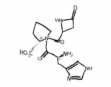 N[C@@H](Cc1c[nH]cn1)C(=O)[N+]1(C(=O)C2CC(=O)N2)CCC[C@H]1C(=O)O